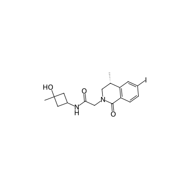 C[C@H]1CN(CC(=O)NC2CC(C)(O)C2)C(=O)c2ccc(I)cc21